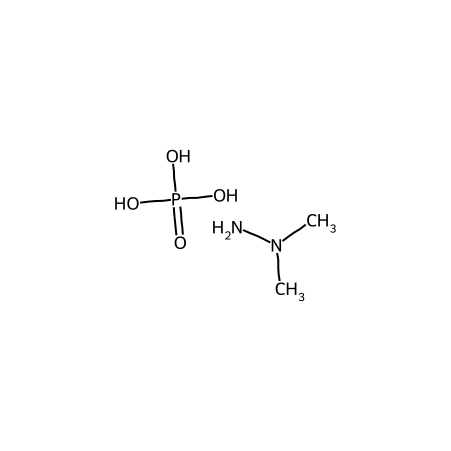 CN(C)N.O=P(O)(O)O